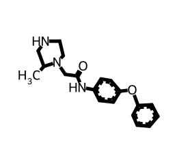 CC1CNCCN1CC(=O)Nc1ccc(Oc2ccccc2)cc1